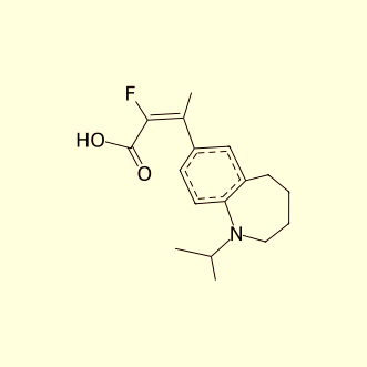 C/C(=C(\F)C(=O)O)c1ccc2c(c1)CCCCN2C(C)C